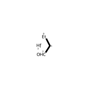 CCCC=O.[Hf]